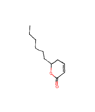 CCCCCCC1CC=CC(=O)O1